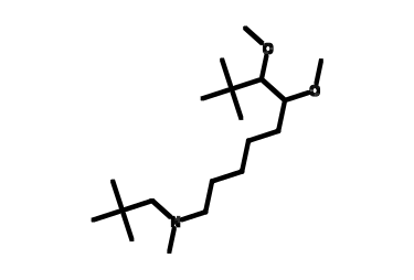 COC(CCCCCN(C)CC(C)(C)C)C(OC)C(C)(C)C